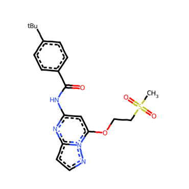 CC(C)(C)c1ccc(C(=O)Nc2cc(OCCS(C)(=O)=O)n3nccc3n2)cc1